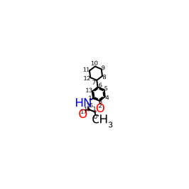 CC1Oc2ccc(C3CCCCC3)cc2NC1=O